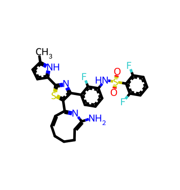 Cc1ccc(-c2nc(-c3cccc(NS(=O)(=O)c4c(F)cccc4F)c3F)c(C3=N/C(N)=C/CCC/C=C\3)s2)[nH]1